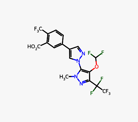 Cn1nc(C(F)(F)C(F)(F)F)c(OC(F)F)c1-n1cc(-c2ccc(C(F)(F)F)c(C(=O)O)c2)cn1